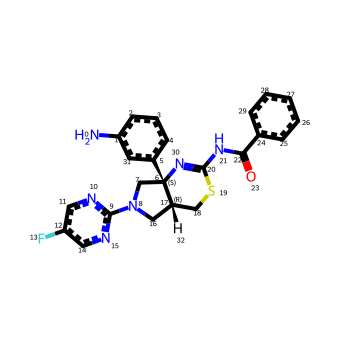 Nc1cccc([C@]23CN(c4ncc(F)cn4)C[C@H]2CSC(NC(=O)c2ccccc2)=N3)c1